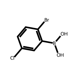 OB(O)c1cc(Cl)ccc1Br